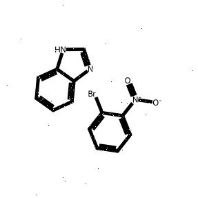 O=[N+]([O-])c1ccccc1Br.c1ccc2[nH]cnc2c1